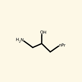 [CH2]CCCC(O)CN